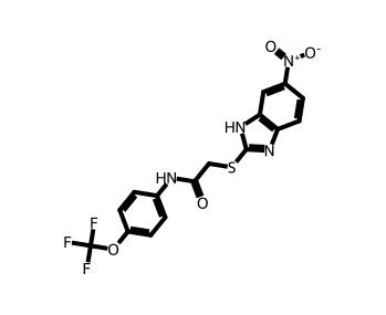 O=C(CSc1nc2ccc([N+](=O)[O-])cc2[nH]1)Nc1ccc(OC(F)(F)F)cc1